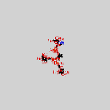 CC(=O)NC1[C@H](OCCOP(=O)(O)OCOCC(COCOP(=O)(O)OCCO[C@@H]2OC(CO)[C@H](O)[C@H](O)C2C)(COCOP(=O)(O)OCCO[C@@H]2OC(CO)[C@H](O)[C@H](O)C2C)C(C)C)OC(CO)[C@H](O)[C@@H]1O